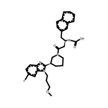 COCCCn1c([C@@H]2CCCN(C(=O)C[C@@H](Cc3ccc4ccccc4c3)NC(=O)O)C2)nc2ccc(F)cc21